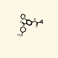 NC1CCN(C(=O)c2ccc(NC(=O)C3CC3)cc2N2CCCC2)CC1